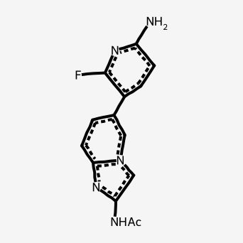 CC(=O)Nc1cn2cc(-c3ccc(N)nc3F)ccc2n1